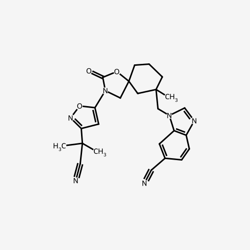 CC1(Cn2cnc3ccc(C#N)cc32)CCCC2(CN(c3cc(C(C)(C)C#N)no3)C(=O)O2)C1